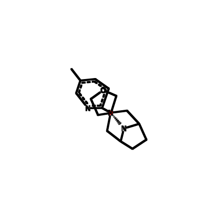 Cc1ccc(N2CC3CCC(C2)N3[C@@H]2CCOC2)nc1